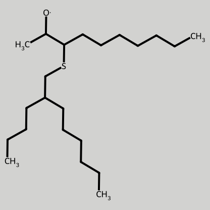 CCCCCCCC(SCC(CCCC)CCCCCC)C(C)[O]